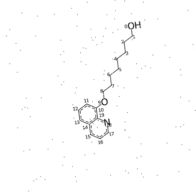 OCCCCCCCCOc1cccc2cccnc12